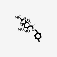 CNC1=N[C@@H]2[C@@H](O)[C@H](O)[C@@H]([C@H](C)OCc3ccc(C)cc3)O[C@@H]2S1